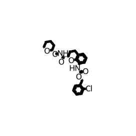 O=C(Nc1cccc2c1O[C@H](C(=O)NOC1CCCCO1)CC2)OCc1ccccc1Cl